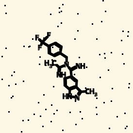 CC(=N)N(Cc1ccc(C(F)(F)F)cc1)C(=N)c1ccc2[nH]nc(C)c2c1